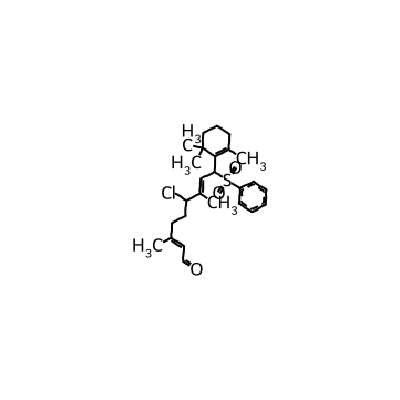 CC(=CC=O)CCC(Cl)C(C)=CC(C1=C(C)CCCC1(C)C)S(=O)(=O)c1ccccc1